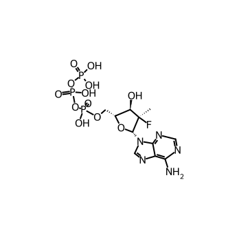 C[C@@]1(F)[C@H](O)[C@@H](COP(=O)(O)OP(=O)(O)OP(=O)(O)O)O[C@H]1n1cnc2c(N)ncnc21